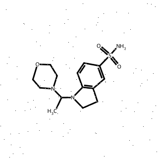 CC(N1CCOCC1)N1CCc2cc(S(N)(=O)=O)ccc21